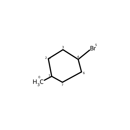 CC1[CH]CC(Br)CC1